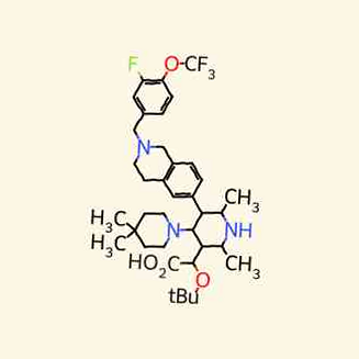 CC1NC(C)C(C(OC(C)(C)C)C(=O)O)C(N2CCC(C)(C)CC2)C1c1ccc2c(c1)CCN(Cc1ccc(OC(F)(F)F)c(F)c1)C2